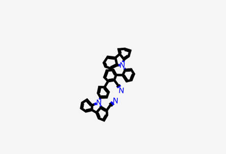 N#Cc1c(-c2ccc(-n3c4ccccc4c4cccc(C#N)c43)cc2)cccc1-c1ccccc1-n1c2ccccc2c2ccccc21